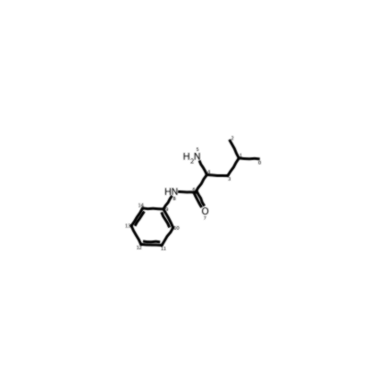 CC(C)CC(N)C(=O)Nc1ccccc1